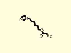 CC(=O)CC(=O)OCCCCCCn1ccnc1